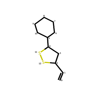 C=CC1CC(C2CCCCC2)SS1